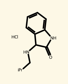 CC(C)CNC1C(=O)Nc2ccccc21.Cl